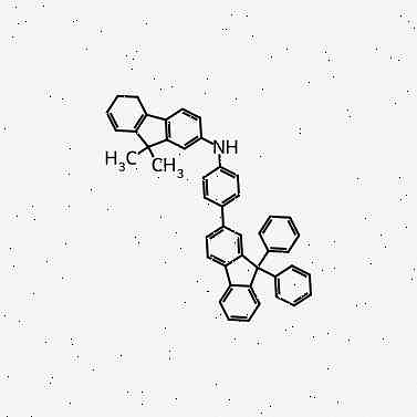 CC1(C)C2=C(CCC=C2)c2ccc(Nc3ccc(-c4ccc5c(c4)C(c4ccccc4)(c4ccccc4)c4ccccc4-5)cc3)cc21